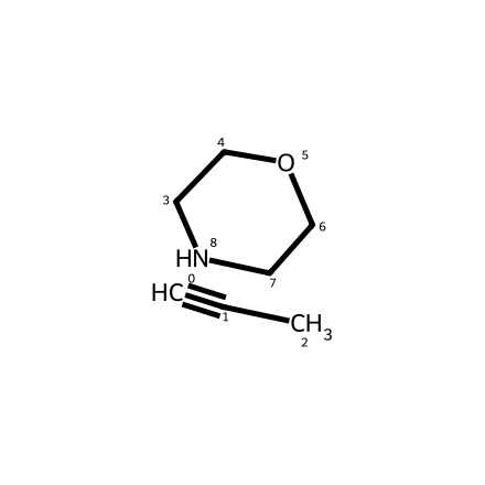 C#CC.C1COCCN1